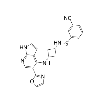 N#Cc1cccc(SN[C@H]2C[C@@H](Nc3c(-c4ncco4)cnc4[nH]ccc34)C2)c1